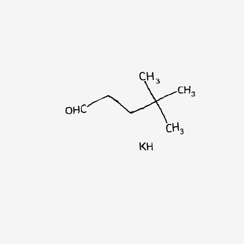 CC(C)(C)CCC=O.[KH]